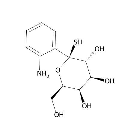 Nc1ccccc1[C@@]1(S)O[C@H](CO)[C@H](O)[C@H](O)[C@H]1O